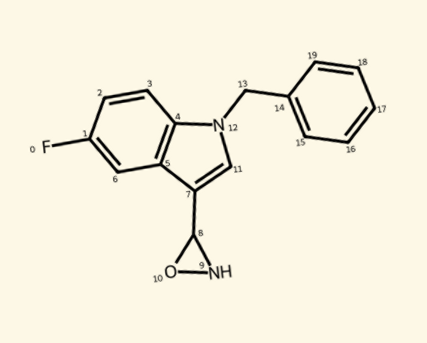 Fc1ccc2c(c1)c(C1NO1)cn2Cc1ccccc1